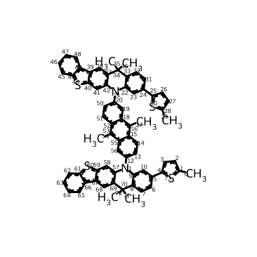 Cc1ccc(-c2ccc3c(c2)N(c2ccc4c(C)c5cc(N6c7cc(-c8ccc(C)s8)ccc7C(C)(C)c7cc8c(cc76)sc6ccccc68)ccc5c(C)c4c2)c2cc4sc5ccccc5c4cc2C3(C)C)s1